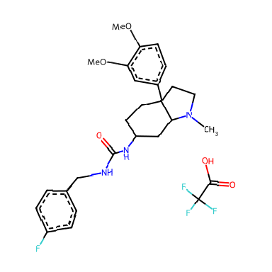 COc1ccc(C23CCC(NC(=O)NCc4ccc(F)cc4)CC2N(C)CC3)cc1OC.O=C(O)C(F)(F)F